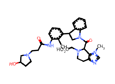 Cc1c(NC(=O)CCN2CCC(O)C2)cccc1C1CN(C(=O)C2c3c(ncn3C)CCN2CC(=O)O)c2ccccc21